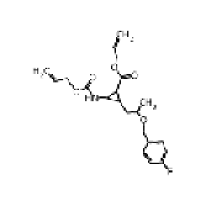 C=CCOC(=O)NC1C(CC(C)OCc2ccc(F)cc2)C1C(=O)OCC=C